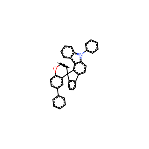 c1ccc(-c2ccc3c(c2)C2(c4ccccc4O3)c3ccccc3-c3ccc4c(c32)c2ccccc2n4-c2ccccc2)cc1